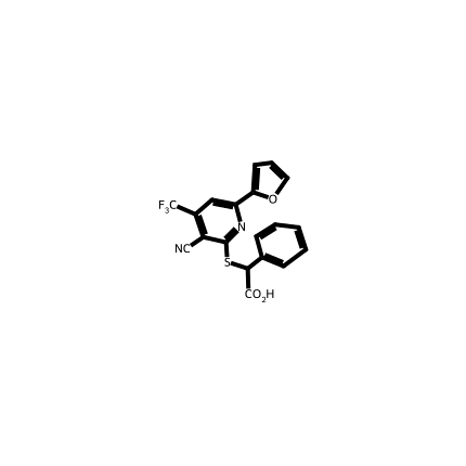 N#Cc1c(C(F)(F)F)cc(-c2ccco2)nc1SC(C(=O)O)c1ccccc1